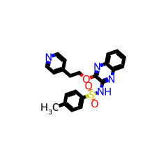 Cc1ccc(S(=O)(=O)Nc2nc3ccccc3nc2OCCc2ccncc2)cc1